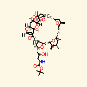 C=C1CC2CC[C@@]34C[C@H]5O[C@H]6C(O3)[C@H]3O[C@H](CC[C@@H]3O[C@H]6[C@H]5O4)CC(=O)C[C@H]3C(C[C@H]4O[C@@H](CCC1O2)C[C@@H](C)C4=C)O[C@H](C[C@H](O)CNC(=O)OC(C)(C)C)[C@@H]3C